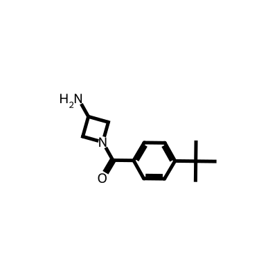 CC(C)(C)c1ccc(C(=O)N2CC(N)C2)cc1